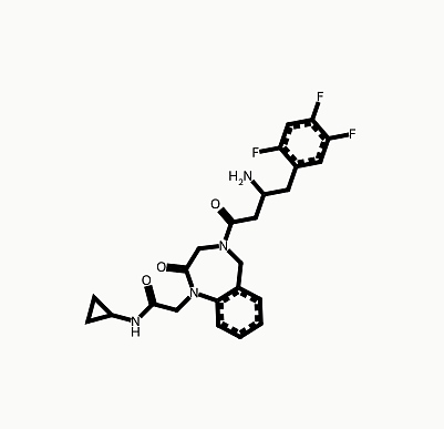 NC(CC(=O)N1CC(=O)N(CC(=O)NC2CC2)c2ccccc2C1)Cc1cc(F)c(F)cc1F